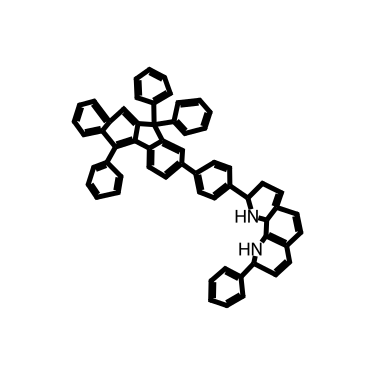 C1=CC2=C(NC(c3ccccc3)C=C2)C2NC(c3ccc(-c4ccc5c(c4)C(c4ccccc4)(c4ccccc4)c4cc6ccccc6c(-c6ccccc6)c4-5)cc3)CC=C12